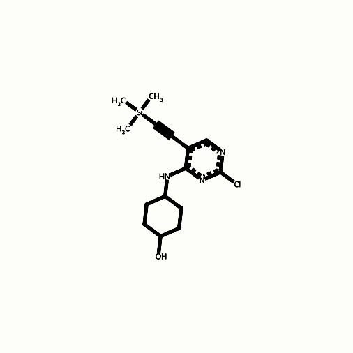 C[Si](C)(C)C#Cc1cnc(Cl)nc1NC1CCC(O)CC1